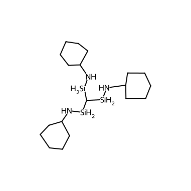 C1CCC(N[SiH2]C([SiH2]NC2CCCCC2)[SiH2]NC2CCCCC2)CC1